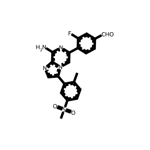 Cc1ccc(S(C)(=O)=O)cc1-c1cnc2c(N)nc(-c3ccc(C=O)cc3F)cn12